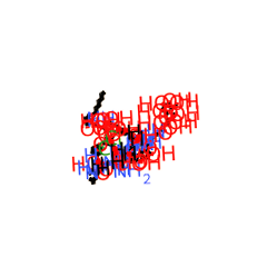 CCCCCCCCN[C@@](C[C@@H](O)OC1C(O)[C@@H](O)[C@@H](CO)O[C@@H]1Oc1c2cc3cc1Oc1ccc(cc1Cl)[C@@H](O)[C@@H](NC(=O)[C@@H](CC(C)C)NC)C(=O)N[C@@H](CC(N)=O)C(=O)N[C@H]3C(=O)N[C@H]1C(=O)N[C@H](C(=O)N[C@H](C(=O)NCCCNC(=O)[C@H](O)[C@@H](O)[C@H](OC3OC(CO)C(O)C(O)C3O)[C@H](O)CO)c3cc(O)cc(O)c3-c3cc1ccc3O)[C@H](O)c1ccc(c(Cl)c1)O2)(C(C)C)[C@H](C)O